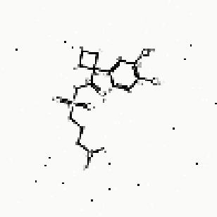 CN(C)CCCS(=O)(=O)CC(=O)C1(c2ccc(Cl)c(Cl)c2)CCC1